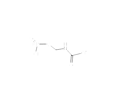 O=C(NCO[PH](=O)O)C(F)(F)F